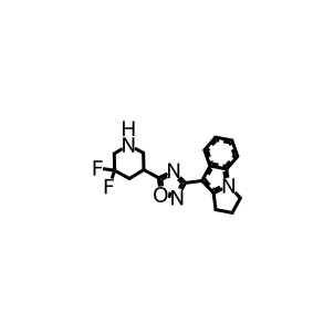 FC1(F)CNCC(c2nc(-c3c4n(c5ccccc35)CCC4)no2)C1